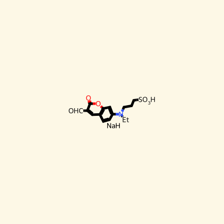 CCN(CCCS(=O)(=O)O)c1ccc2cc(C=O)c(=O)oc2c1.[NaH]